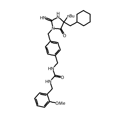 CCCCC1(CC2CCCCC2)NC(=N)N(Cc2ccc(CNC(=O)NCc3ccccc3OC)cc2)C1=O